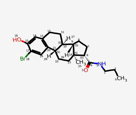 CCCNC(=O)[C@H]1CC[C@H]2[C@@H]3CCc4cc(O)c(Br)cc4[C@H]3CC[C@]12C